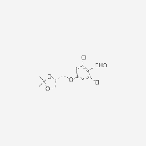 CC1(C)OC[C@@H](COc2cc(Cl)c(C=O)c(Cl)c2)O1